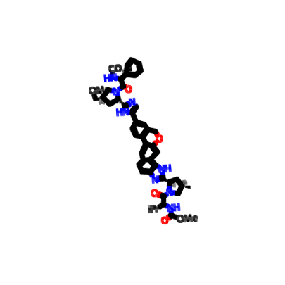 COC[C@H]1C[C@@H](c2ncc(-c3ccc4c(c3)COc3cc5c(ccc6nc([C@@H]7C[C@H](C)CN7C(=O)C(NC(=O)OC)C(C)C)[nH]c65)cc3-4)[nH]2)N(C(=O)C(NC(=O)O)c2ccccc2)C1